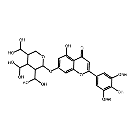 COc1cc(-c2cc(=O)c3c(O)cc(OC4OCC(C(O)O)C(C(O)O)C4C(O)O)cc3o2)cc(OC)c1O